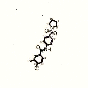 Cc1cc(C(=O)Nc2ccc(S(=O)(=O)N3CCCC3)cc2)ccc1Cl